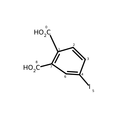 O=C(O)c1ccc(I)cc1C(=O)O